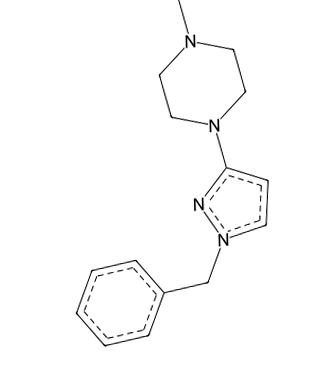 CN1CCN(c2ccn(Cc3ccccc3)n2)CC1